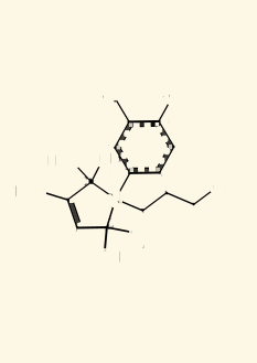 CCCC[N+]1(c2ccc(Cl)c(Cl)c2)C(C)(C)C=C(C)C1(C)C